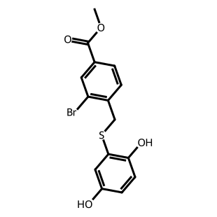 COC(=O)c1ccc(CSc2cc(O)ccc2O)c(Br)c1